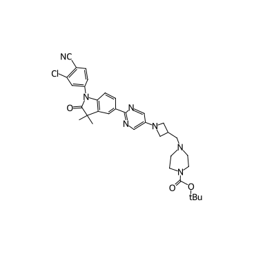 CC(C)(C)OC(=O)N1CCN(CC2CN(c3cnc(-c4ccc5c(c4)C(C)(C)C(=O)N5c4ccc(C#N)c(Cl)c4)nc3)C2)CC1